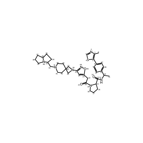 Cc1ncsc1-c1ccc(C(C)NC(=O)C2CCCN2C(=O)Cc2cc(N3CC4(CCN(CC5CCC6CCCN65)CC4)C3)no2)cc1